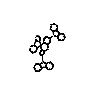 c1cnc2c(c1)C1(c3ccc(-n4c5ccccc5c5ccccc54)cc3Sc3cc(-n4c5ccccc5c5ccncc54)ccc31)c1cccnc1-2